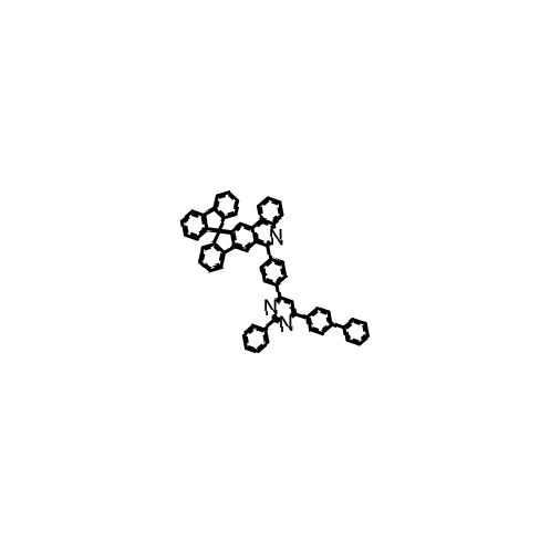 c1ccc(-c2ccc(-c3cc(-c4ccc(-c5nc6ccccc6c6cc7c(cc56)-c5ccccc5C75c6ccccc6-c6ccccc65)cc4)nc(-c4ccccc4)n3)cc2)cc1